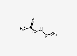 CONOC(C)=O